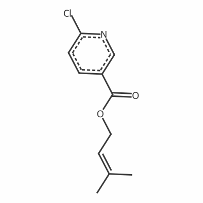 CC(C)=CCOC(=O)c1ccc(Cl)nc1